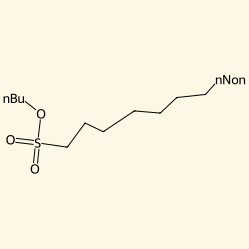 CCCCCCCCCCCCCCCCS(=O)(=O)OCCCC